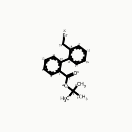 CC(C)(C)OC(=O)c1ccccc1-c1ccccc1CBr